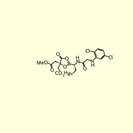 COC(=O)C[C@]1(CC(=O)O)OB([C@H](CC(C)C)NC(=O)CNc2cc(Cl)ccc2Cl)OC1=O